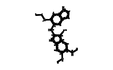 CCOc1nc2[nH]ccc2cc1Nc1[nH]c2nc(OC)c(NC)cc2c1F